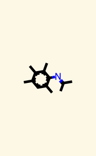 CC(C)=Nc1c(C)cc(C)c(C)c1C